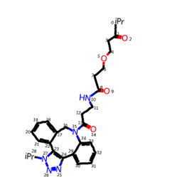 CC(C)C(=O)CCOCCC(=O)NCCC(=O)N1Cc2ccccc2-c2c(nnn2C(C)C)-c2ccccc21